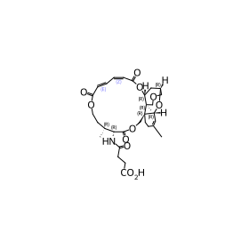 CC1=C[C@H]2O[C@H]3COC[C@]4(C)[C@@H](C3)OC(=O)/C=C\C=C\C(=O)OCC[C@@H](C)[C@@H](NC(=O)CCC(=O)O)C(=O)OC[C@]24CC1